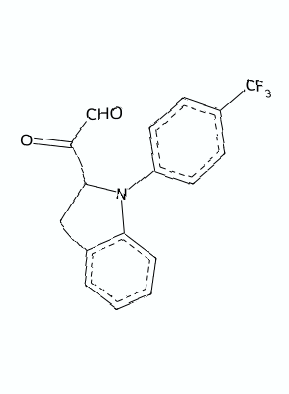 O=CC(=O)C1Cc2ccccc2N1c1ccc(C(F)(F)F)cc1